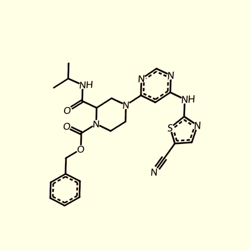 CC(C)NC(=O)C1CN(c2cc(Nc3ncc(C#N)s3)ncn2)CCN1C(=O)OCc1ccccc1